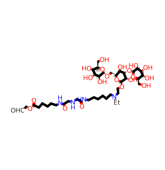 CCN(CCCCCCNC(=O)CNCC(=O)NCCCCCC(=O)OCC=O)CCO[C@H]1O[C@H](CO[C@H]2O[C@H](CO)[C@@H](O)[C@H](O)[C@@H]2O)[C@@H](O)[C@H](O[C@H]2O[C@H](CO)[C@@H](O)[C@H](O)[C@@H]2O)[C@@H]1O